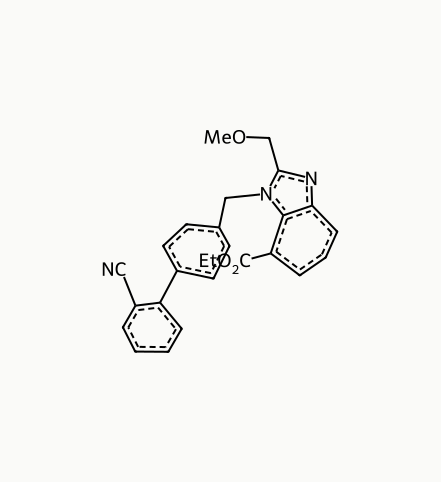 CCOC(=O)c1cccc2nc(COC)n(Cc3ccc(-c4ccccc4C#N)cc3)c12